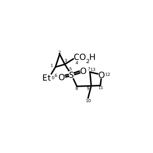 CCC1CC1(C(=O)O)S(=O)(=O)CC1(C)COC1